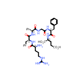 CC(C)C[C@H](NC(=O)[C@@H](N)CCCNC(=N)N)C(=O)N[C@H](C(=O)NCC(=O)N[C@@H](Cc1ccccc1)C(=O)N[C@@H](CCC(=O)O)C(=O)O)C(C)C